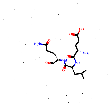 CC(C)C[C@H](NC(=O)[C@@H](N)CCC(=O)O)C(=O)N[C@H]([C]=O)CCC(N)=O